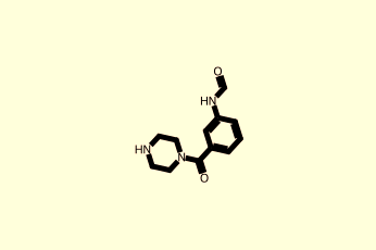 O=CNc1cccc(C(=O)N2CCNCC2)c1